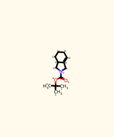 CC(C)(C)OC(=O)N1CC2=CCCCC2C1